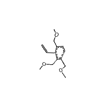 C=Cc1c(COC)ccc(COC)c1COC